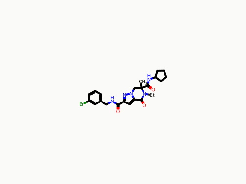 CCN1C(=O)c2cc(C(=O)NCc3cccc(Br)c3)nn2CC1(C)C(=O)NC1CCCC1